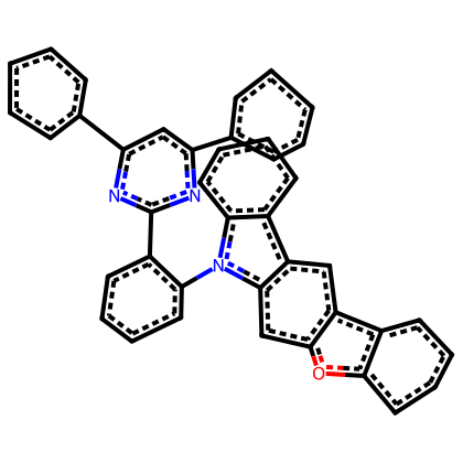 c1ccc(-c2cc(-c3ccccc3)nc(-c3ccccc3-n3c4ccccc4c4cc5c(cc43)oc3ccccc35)n2)cc1